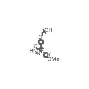 COc1ccc(-n2cc(-c3ccc(OCCC(C)(C)O)cc3)c3c(=O)[nH]cnc32)cn1